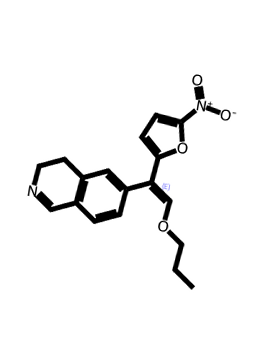 CCCO/C=C(\c1ccc2c(c1)CCN=C2)c1ccc([N+](=O)[O-])o1